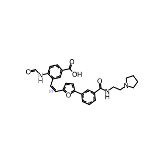 O=CNc1ccc(C(=O)O)cc1/C=C\c1ccc(-c2cccc(C(=O)NCCN3CCCC3)c2)o1